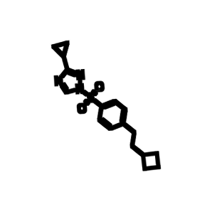 O=S(=O)(c1ccc(CCC2CCC2)cc1)n1cnc(C2CC2)n1